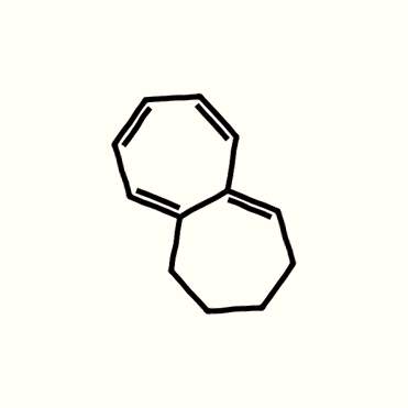 C1=CC=C2CCCCC=C2C=C1